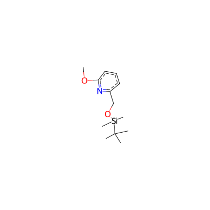 COc1cccc(CO[Si](C)(C)C(C)(C)C)n1